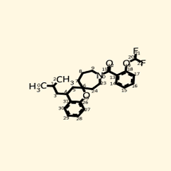 CC(C)CC1CC2(CCCN(C(=O)c3ccccc3OC(F)F)CC2)Oc2ccccc21